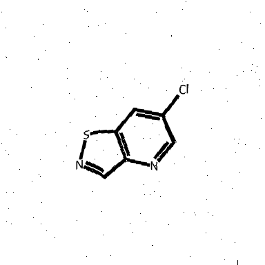 Clc1cnc2cnsc2c1